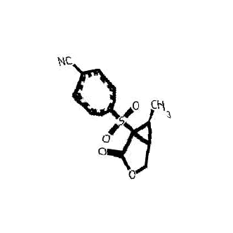 C[C@H]1C2COC(=O)C21S(=O)(=O)c1ccc(C#N)cc1